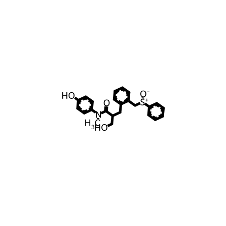 CN(C(=O)C(CO)Cc1ccccc1C[S+]([O-])c1ccccc1)c1ccc(O)cc1